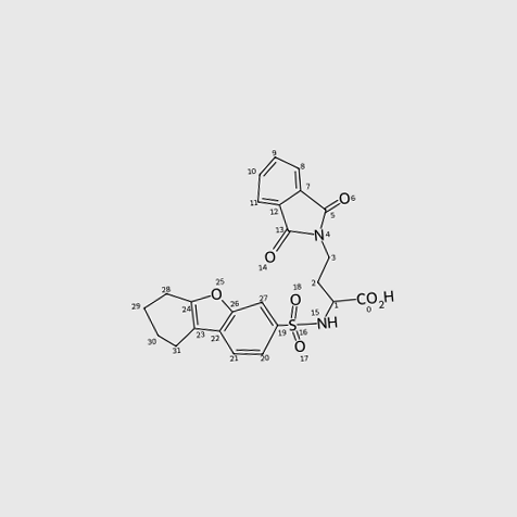 O=C(O)C(CCN1C(=O)c2ccccc2C1=O)NS(=O)(=O)c1ccc2c3c(oc2c1)CCCC3